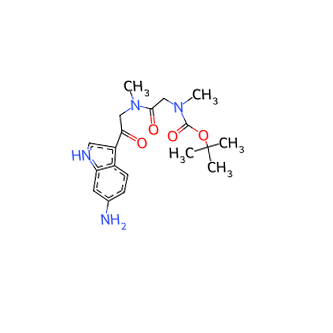 CN(CC(=O)c1c[nH]c2cc(N)ccc12)C(=O)CN(C)C(=O)OC(C)(C)C